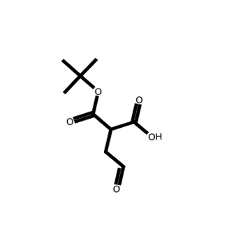 CC(C)(C)OC(=O)C(CC=O)C(=O)O